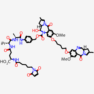 COc1cc2c(cc1OCCCCCOc1cc3c(cc1OC)C(=O)N1C=C(C)C[C@H]1[C@H](O)N3C(=O)OCc1ccc(NC(=O)[C@H](C)NC(=O)[C@@H](NC(=O)CC[C@H](NC(=O)CCCCCN3C(=O)C=CC3=O)C(=O)O)C(C)C)cc1)N=C[C@@H]1CC(C)=CN1C2=O